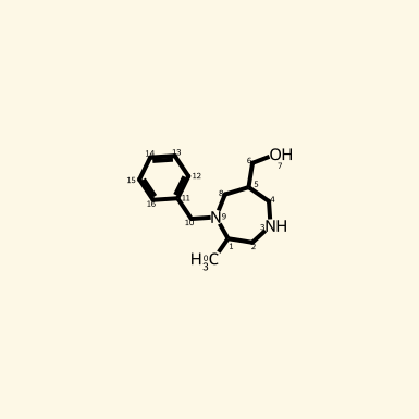 CC1CNCC(CO)CN1Cc1ccccc1